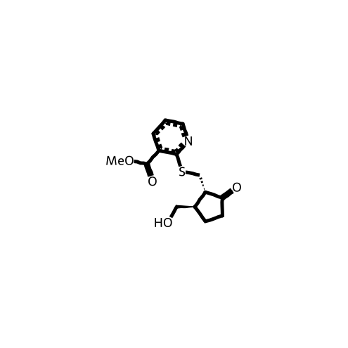 COC(=O)c1cccnc1SC[C@@H]1C(=O)CC[C@H]1CO